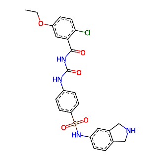 CCOc1ccc(Cl)c(C(=O)NC(=O)Nc2ccc(S(=O)(=O)Nc3ccc4c(c3)CNC4)cc2)c1